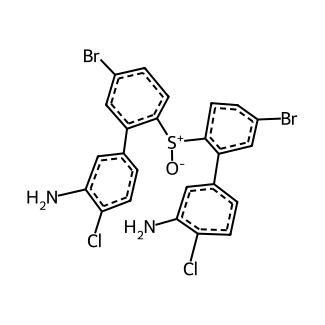 Nc1cc(-c2cc(Br)ccc2[S+]([O-])c2ccc(Br)cc2-c2ccc(Cl)c(N)c2)ccc1Cl